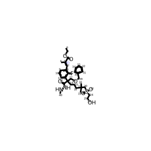 CCOC(=O)/C(C)=C/c1cccc(C(CCCC(C)(C)CS(=O)(=O)CCO)(COCc2ccccc2)C(=O)NNC)c1F